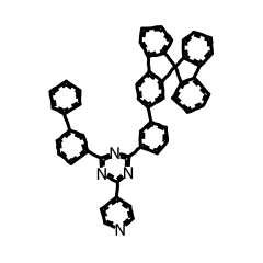 c1ccc(-c2cccc(-c3nc(-c4ccncc4)nc(-c4cccc(-c5ccc6c(c5)C5(c7ccccc7-c7ccccc75)c5ccccc5-6)c4)n3)c2)cc1